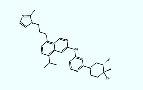 Cc1nccn1CCOc1ccc(C(C)C)c2cc(Nc3ccnc(N4CC[C@@](C)(O)[C@@H](F)C4)n3)ncc12